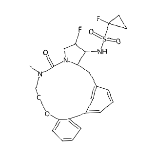 CN1CCOc2ccccc2-c2cccc(c2)CC2C(NS(=O)(=O)C3(F)CC3)C(F)CN2C1=O